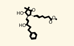 COC(=O)CCCC=CC[C@H]1C(=O)C(C)(C)[C@@H](O)[C@@H]1C=CC(O)CCc1ccccc1